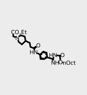 CCCCCCCCOC(=O)NC(=N)c1ccc(NC(=O)CCC2CCN(CC(=O)OCC)CC2)cc1